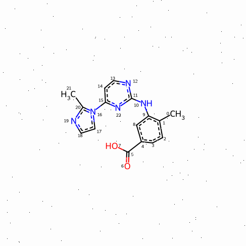 Cc1ccc(C(=O)O)cc1Nc1nccc(-n2ccnc2C)n1